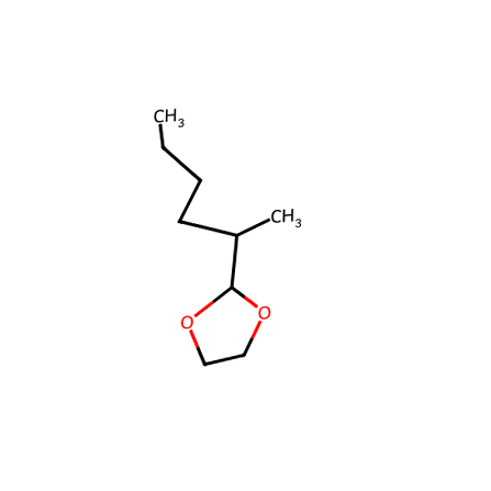 CCCCC(C)C1OCCO1